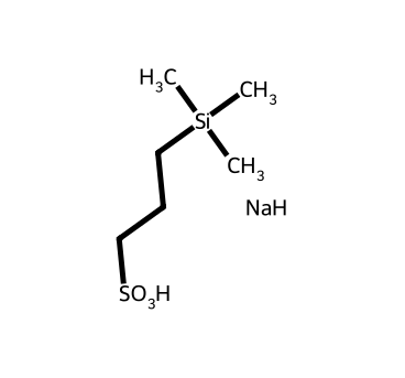 C[Si](C)(C)CCCS(=O)(=O)O.[NaH]